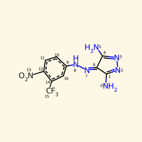 NC1=NN=C(N)C1=NNc1ccc([N+](=O)[O-])c(C(F)(F)F)c1